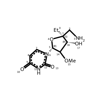 CC[C@@]1(CN)O[C@@H](n2ccc(=O)[nH]c2=O)C(OC)[C@H]1O